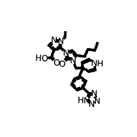 CCCCc1cn(-c2c(C(=O)O)cnn2CC)c(=O)n1CC1(c2cccc(-c3nnn[nH]3)c2)C=CNC=C1